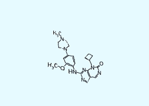 COc1cc(N2CCN(C)CC2)ccc1Nc1ncc2cnc(=O)n(C3CCC3)c2n1